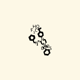 CN(Cc1ccccc1)C[C@@H]1CN(S(=O)(=O)C2=CC=CCC2=S)CCN1c1ccc([C@](C)(O)C(F)(F)F)cc1